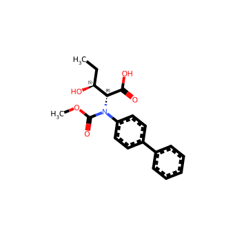 CC[C@H](O)[C@H](C(=O)O)N(C(=O)OC)c1ccc(-c2ccccc2)cc1